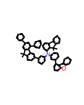 CC1(C)c2ccc(-c3cccc(N(c4cccc(-c5cccc6oc7ccccc7c56)c4)c4cccc5c4C(C)(C)c4ccccc4-5)c3)cc2-c2c(-c3ccccc3)cc(-c3ccccc3)cc21